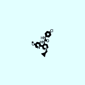 COc1ccc(C2CN(CC3CC3)CCC2NC(=O)Nc2ccc(Cl)cc2)nc1